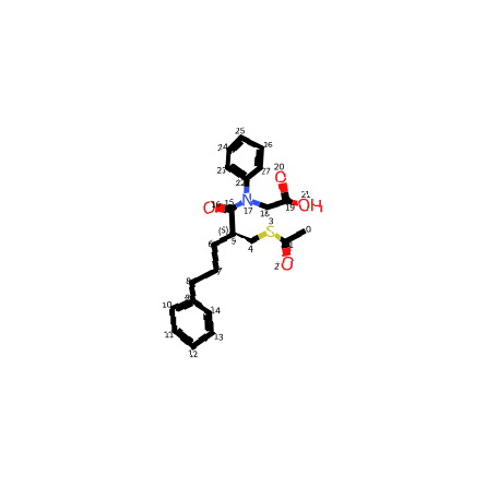 CC(=O)SC[C@@H](CCCc1ccccc1)C(=O)N(CC(=O)O)c1ccccc1